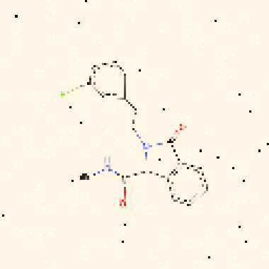 CCCCNC(=O)C1c2ccccc2C(=O)N1CCc1cccc(F)c1